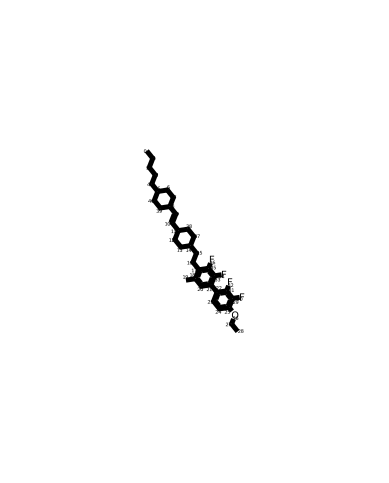 CCCCCC1CCC(/C=C/C2CCC(CCc3c(C)cc(-c4ccc(OCC)c(F)c4F)c(F)c3F)CC2)CC1